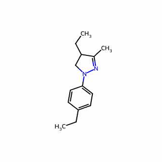 CCc1ccc(N2CC(CC)C(C)=N2)cc1